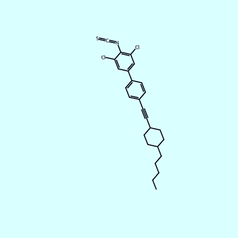 CCCCCC1CCC(C#Cc2ccc(-c3cc(Cl)c(N=C=S)c(Cl)c3)cc2)CC1